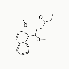 CCC([O])CCC(OC)c1c(OC)ccc2ccccc12